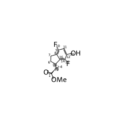 COC(=O)[C@@H]1C[C@@]12CCc1c(F)cc(O)c(F)c12